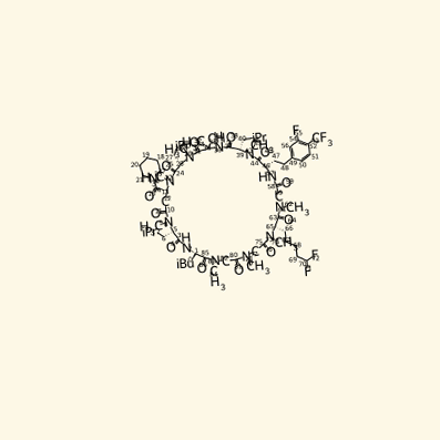 CC[C@H](C)[C@@H]1NC(=O)[C@H](CC(C)C)N(C)C(=O)C[C@@H](C(=O)N2CCCCC2)N(C)C(=O)[C@H](CC(C)C)N(C)C(=O)C(C)(C)NC(=O)[C@H](CC(C)C)N(C)C(=O)[C@H](CCc2ccc(C(F)(F)F)c(F)c2)NC(=O)CN(C)C(=O)[C@H](CCCCC(F)F)N(C)C(=O)CN(C)C(=O)CN(C)C1=O